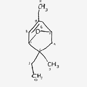 CCC1(C)CC2OC1C=C2C